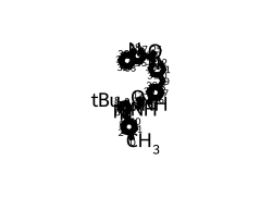 Cc1ccc(-n2nc(C(C)(C)C)cc2NC(=O)Nc2ccc(CC3CCN(C(=O)c4cnc5ccccc5c4)CC3)cc2)cc1